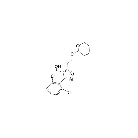 OCc1c(-c2c(Cl)cccc2Cl)noc1CCOC1CCCCO1